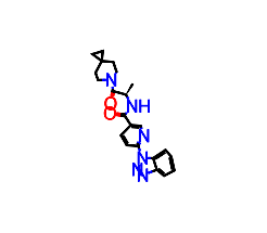 C[C@@H](NC(=O)c1ccc(-n2nnc3ccccc32)nc1)C(=O)N1CCC2(CC1)CC2